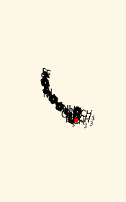 Cc1cccc(N2/C(=N/C(=O)NC3CCC(c4ccc(-c5ncn(-c6ccc(OC(F)(F)F)cc6)n5)cc4)C3)SCCC2C)c1C(C)C